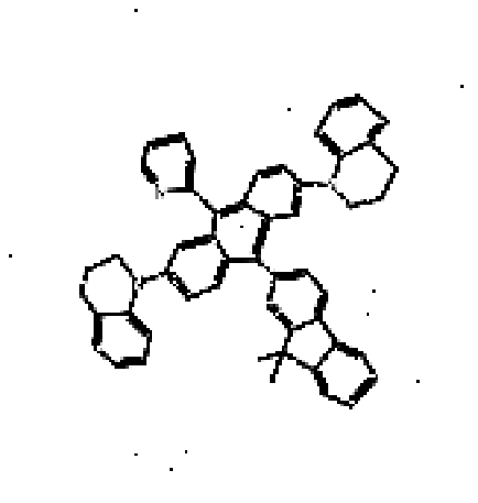 CC1(C)c2ccccc2-c2ccc(-c3c4cc(N5CCCc6ccccc65)ccc4c(-c4ccccn4)c4cc(N5CCCc6ccccc65)ccc34)cc21